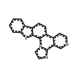 c1ccc2c(c1)sc1c2ccc2c3ccncc3c3nccn3c21